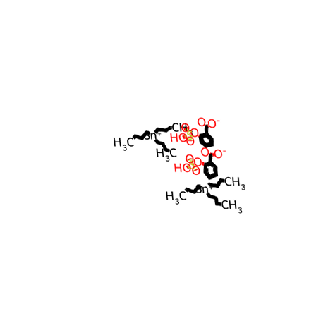 CCC[CH2][Sn+]([CH2]CCC)[CH2]CCC.CCC[CH2][Sn+]([CH2]CCC)[CH2]CCC.O=C([O-])c1ccccc1OS(=O)(=O)O.O=C([O-])c1ccccc1OS(=O)(=O)O